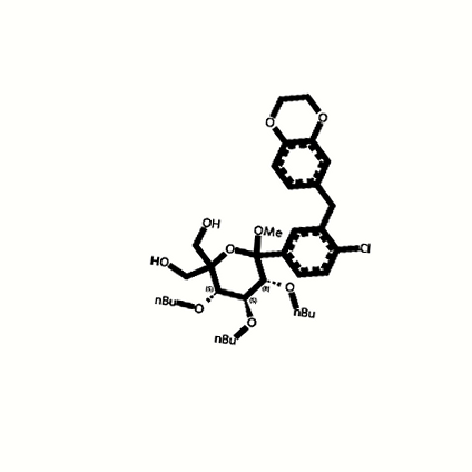 CCCCO[C@@H]1[C@@H](OCCCC)C(OC)(c2ccc(Cl)c(Cc3ccc4c(c3)OCCO4)c2)OC(CO)(CO)[C@H]1OCCCC